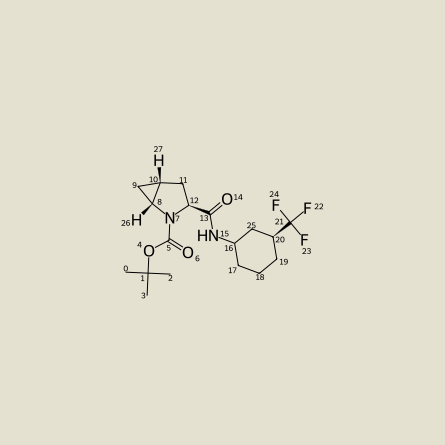 CC(C)(C)OC(=O)N1[C@@H]2C[C@@H]2C[C@H]1C(=O)NC1CCC[C@H](C(F)(F)F)C1